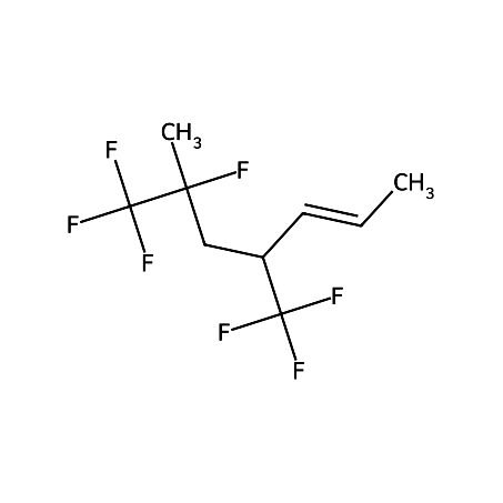 CC=CC(CC(C)(F)C(F)(F)F)C(F)(F)F